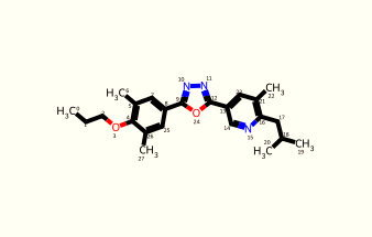 CCCOc1c(C)cc(-c2nnc(-c3cnc(CC(C)C)c(C)c3)o2)cc1C